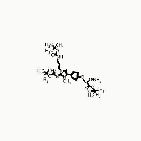 Cn1c(-c2ccc(OC[C@H](ON)C(=O)OC(C)(C)C)cc2)cn(CCCNC(=O)OC(C)(C)C)/c1=N\C(=O)OC(C)(C)C